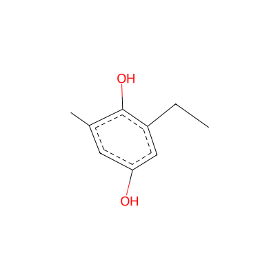 CCc1cc(O)cc(C)c1O